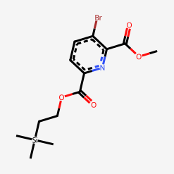 COC(=O)c1nc(C(=O)OCC[Si](C)(C)C)ccc1Br